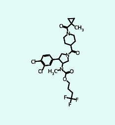 CN(C(=O)OCCCC(F)(F)F)C1CN(C(=O)C2CCN(C(=O)C3(C)CC3)CC2)CC1c1ccc(Cl)c(Cl)c1